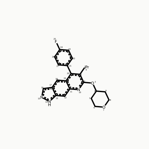 CC(C)c1c(OC2CCOCC2)nc2cc3[nH]ncc3cc2c1-c1ccc(F)cc1